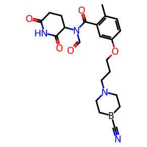 Cc1ccc(OCCCN2CCB(C#N)CC2)cc1C(=O)N(C=O)C1CCC(=O)NC1=O